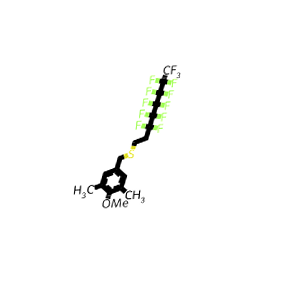 COc1c(C)cc(CSCCC(F)(F)C(F)(F)C(F)(F)C(F)(F)C(F)(F)C(F)(F)F)cc1C